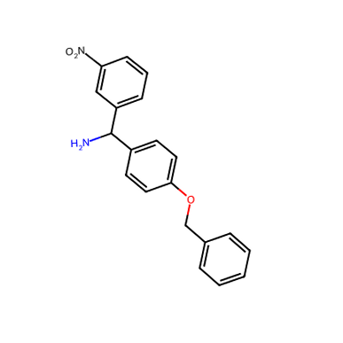 NC(c1ccc(OCc2ccccc2)cc1)c1cccc([N+](=O)[O-])c1